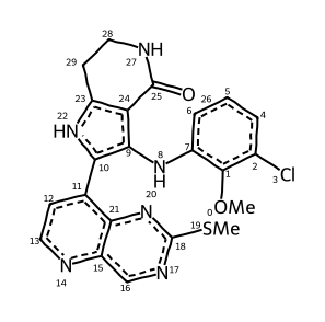 COc1c(Cl)cccc1Nc1c(-c2ccnc3cnc(SC)nc23)[nH]c2c1C(=O)NCC2